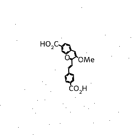 COC(=Cc1ccc(C(=O)O)cc1)C(=O)C=Cc1ccc(C(=O)O)cc1